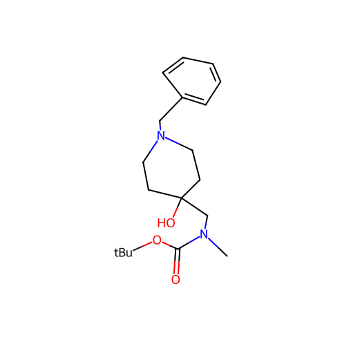 CN(CC1(O)CCN(Cc2ccccc2)CC1)C(=O)OC(C)(C)C